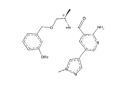 COc1cccc(COC[C@@H](C)NC(=O)c2cc(-c3cnn(C)c3)cnc2N)c1